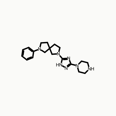 c1ccc(N2CCC3(CCN(c4nc(N5CCNCC5)n[nH]4)C3)C2)cc1